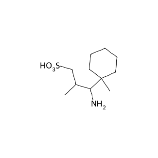 CC(CS(=O)(=O)O)C(N)C1(C)CCCCC1